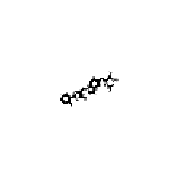 Cc1ccccc1-c1nc(Cn2ccc3cc(CC(OC(C)C)C(=O)O)ccc32)c(C)o1